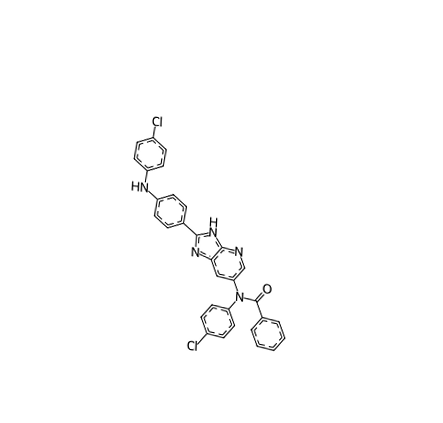 O=C(c1ccccc1)N(c1ccc(Cl)cc1)c1cnc2[nH]c(-c3ccc(Nc4ccc(Cl)cc4)cc3)nc2c1